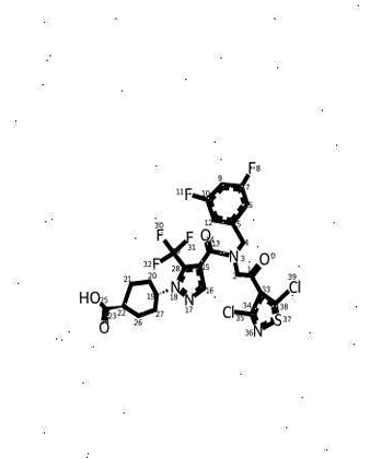 O=C(CN(Cc1cc(F)cc(F)c1)C(=O)c1cnn([C@H]2CC[C@H](C(=O)O)CC2)c1C(F)(F)F)c1c(Cl)nsc1Cl